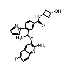 CC(Oc1cc2cc(F)ccc2nc1N)c1cc(C(=O)N[C@H]2C[C@H](O)C2)ccc1-n1cccn1